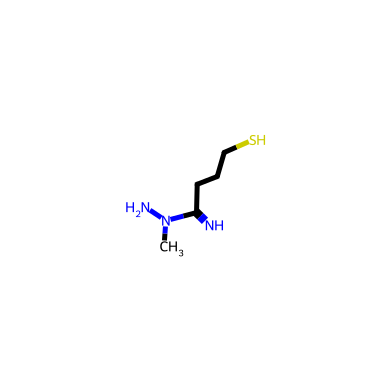 CN(N)C(=N)CCCS